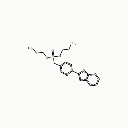 CCCOP(=O)(Cc1ccc(-c2nc3ccccc3s2)nc1)OCCC